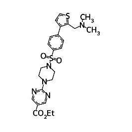 CCOC(=O)c1cnc(N2CCN(S(=O)(=O)c3ccc(-c4ccsc4CN(C)C)cc3)CC2)nc1